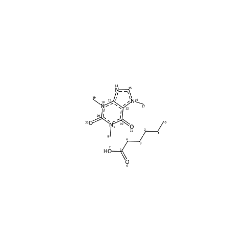 CCCCCC(=O)O.Cn1c(=O)c2c(ncn2C)n(C)c1=O